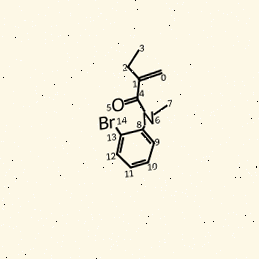 C=C(CC)C(=O)N(C)c1ccccc1Br